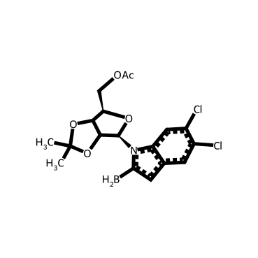 Bc1cc2cc(Cl)c(Cl)cc2n1[C@@H]1O[C@H](COC(C)=O)C2OC(C)(C)OC21